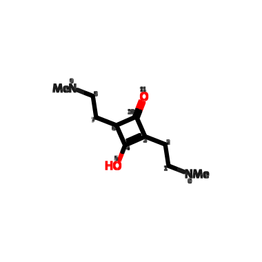 CNCCC1=C(O)C(CCNC)C1=O